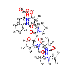 CC[C@H](C)[C@@H]([C@@H](CC(=O)N1CCC[C@H]1[C@H](OC)[C@@H](C)C(=O)N[C@@H](Cc1ccccc1)C(=O)O)OC)N(C)C(=O)[C@@H](NC(=O)C(C(C)C)N(C)C(=O)C(C)C)C(C)C